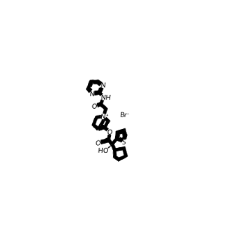 O=C(C[N+]12CCC(CC1)C(OC(=O)[C@@](O)(c1cccs1)C1CCCC1)C2)Nc1ncccn1.[Br-]